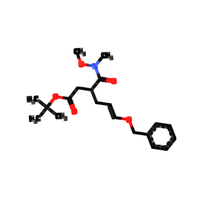 CON(C)C(=O)C(C/C=C/OCc1ccccc1)CC(=O)OC(C)(C)C